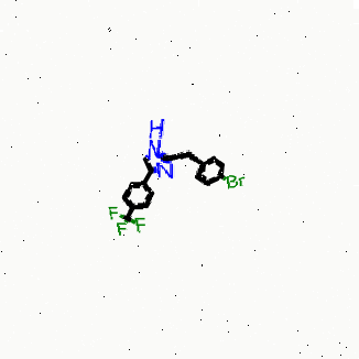 FC(F)(F)c1ccc(-c2c[nH]c(Cc3ccc(Br)cc3)n2)cc1